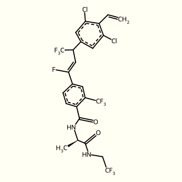 C=Cc1c(Cl)cc(C(/C=C(\F)c2ccc(C(=O)N[C@H](C)C(=O)NCC(F)(F)F)c(C(F)(F)F)c2)C(F)(F)F)cc1Cl